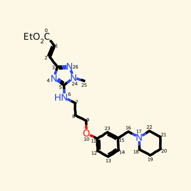 CCOC(=O)C=Cc1nc(NCCCOc2cccc(CN3CCCCC3)c2)n(C)n1